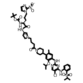 Cc1cc(Nc2ncc(Cl)c(Nc3ccccc3S(=O)(=O)C(C)C)n2)c(OC(C)C)cc1C1CCN(C(=O)CCCN2CC[C@@H](NC(=O)[C@H](CCCn3ccnc3[N+](=O)[O-])NC(=O)OC(C)(C)C)C2)CC1